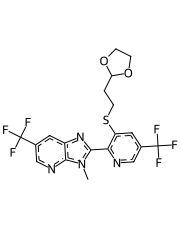 Cn1c(-c2ncc(C(F)(F)F)cc2SCCC2OCCO2)nc2cc(C(F)(F)F)cnc21